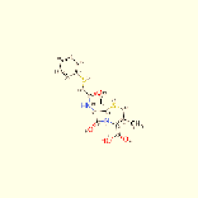 CC1=C(C(=O)O)N2C(=O)C(NC(=O)CSc3ccccc3)[C@H]2SC1